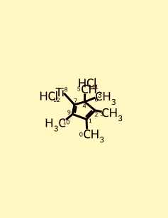 CC1=C(C)C(C)(C)[C]([Ti])=C1C.Cl.Cl